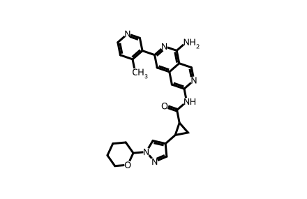 Cc1ccncc1-c1cc2cc(NC(=O)C3CC3c3cnn(C4CCCCO4)c3)ncc2c(N)n1